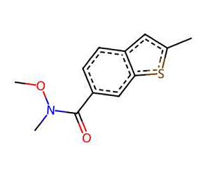 CON(C)C(=O)c1ccc2cc(C)sc2c1